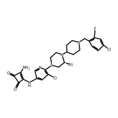 CC[C@H]1CN(c2ncc(Nc3c(N)c(=O)c3=O)cc2Cl)CCN1C1CCN(Cc2ccc(Cl)cc2F)CC1